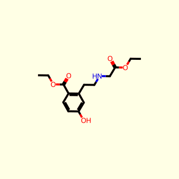 CCOC(=O)CNCCc1cc(O)ccc1C(=O)OCC